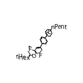 CCCCCCC(C)OC1=C(F)C=C(c2ccc(C34CCC(CCCCC)(CC3)CC4)cc2)CC1F